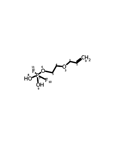 C=CCOCCOP(O)(O)(F)F